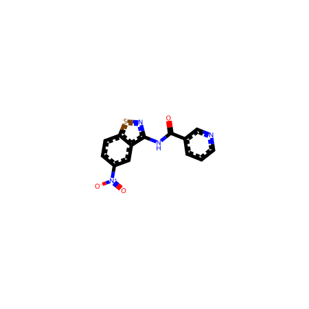 O=C(Nc1nsc2ccc([N+](=O)[O-])cc12)c1cccnc1